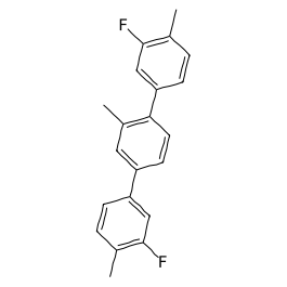 Cc1ccc(-c2ccc(-c3ccc(C)c(F)c3)c(C)c2)cc1F